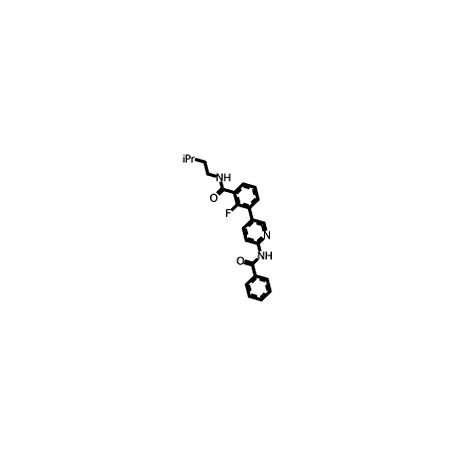 CC(C)CCNC(=O)c1cccc(-c2ccc(NC(=O)c3ccccc3)nc2)c1F